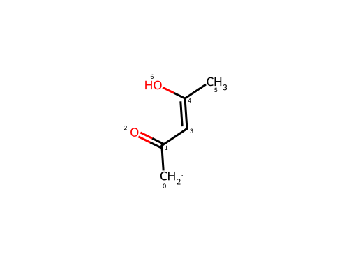 [CH2]C(=O)C=C(C)O